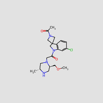 COC[C@H]1CN[C@H](C)CN1CC(=O)N1CC2(CN(C(C)=O)C2)c2ccc(Cl)cc21